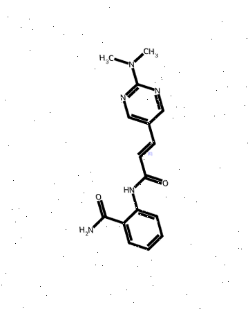 CN(C)c1ncc(/C=C/C(=O)Nc2ccccc2C(N)=O)cn1